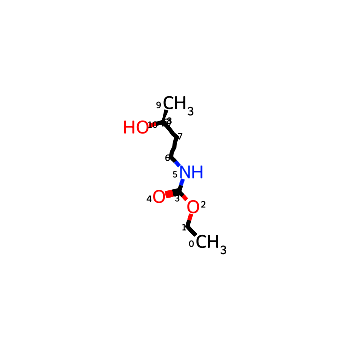 CCOC(=O)NCC[C@H](C)O